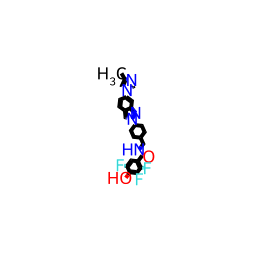 Cc1cn(-c2ccc3cn(C4CCC(CNC(=O)c5cc(F)c(O)c(F)c5F)CC4)nc3c2)cn1